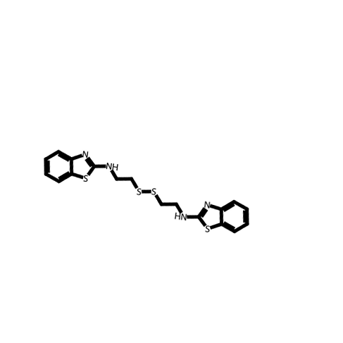 c1ccc2sc(NCCSSCCNc3nc4ccccc4s3)nc2c1